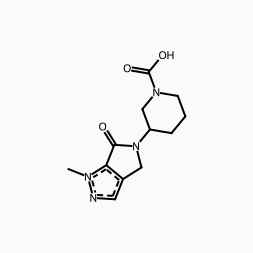 Cn1ncc2c1C(=O)N(C1CCCN(C(=O)O)C1)C2